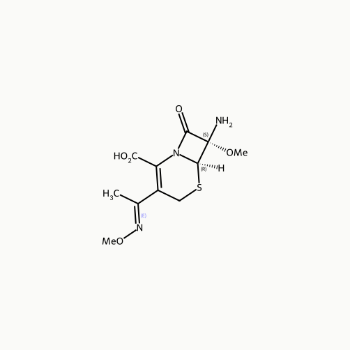 CO/N=C(\C)C1=C(C(=O)O)N2C(=O)[C@](N)(OC)[C@H]2SC1